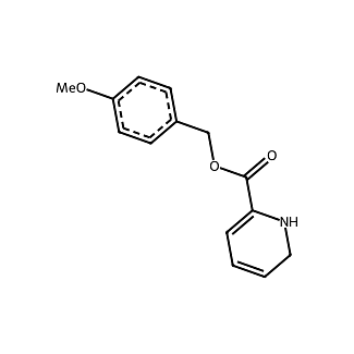 COc1ccc(COC(=O)C2=CC=CCN2)cc1